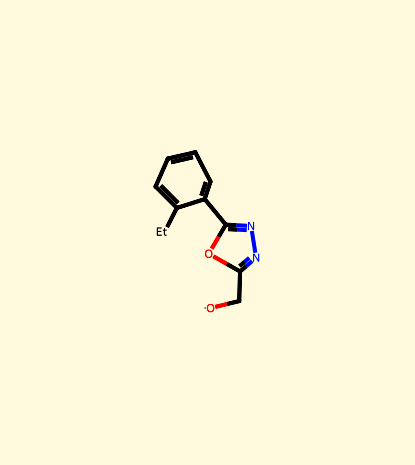 CCc1ccccc1-c1nnc(C[O])o1